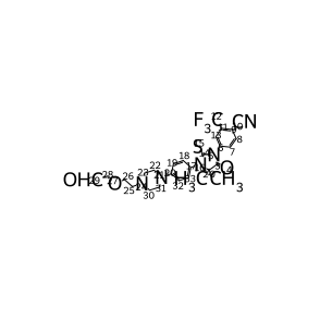 CC1(C)C(=O)N(c2ccc(C#N)c(C(F)(F)F)c2)C(=S)N1c1ccc(N2CCN(CCOCC=O)CC2)cc1